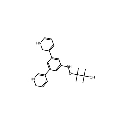 CC(C)(O)C(C)(C)OBc1cc(C2=CNCC=C2)cc(C2=CC=CNC2)c1